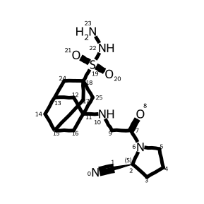 N#C[C@@H]1CCCN1C(=O)CNC12CC3CC(C1)CC(S(=O)(=O)NN)(C3)C2